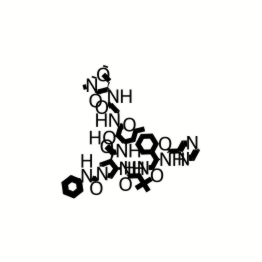 CCCC(NC(=O)[C@@H]1CN(C(=O)Nc2ccccc2)C[C@@H]1NC(=O)[C@@H](NC(=O)[C@@H](NC(=O)c1cnccn1)C1CCCCC1)C(C)(C)C)[C@H](O)C(=O)NCC(=O)N[C@@H](COC)C(=O)N(C)C